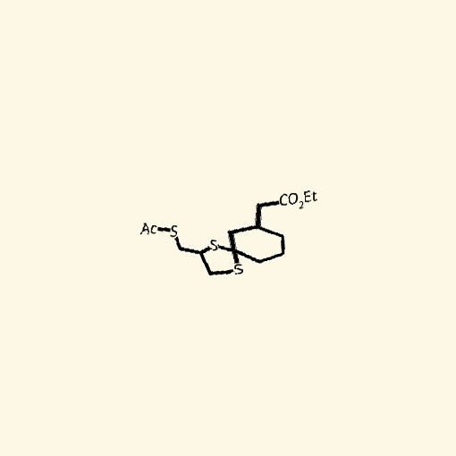 CCOC(=O)CC1CCCC2(C1)SCC(CSC(C)=O)S2